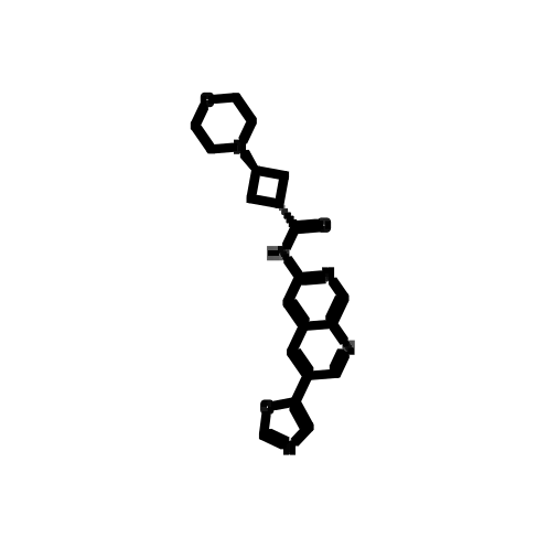 O=C(Nc1cc2cc(-c3cnco3)cnc2cn1)[C@H]1C[C@H](N2CCOCC2)C1